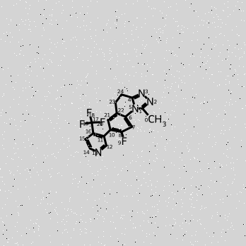 Cc1nnc2n1-c1cc(F)c(-c3cnccc3C(F)(F)F)cc1CC2